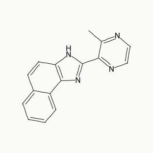 Cc1nccnc1-c1nc2c(ccc3ccccc32)[nH]1